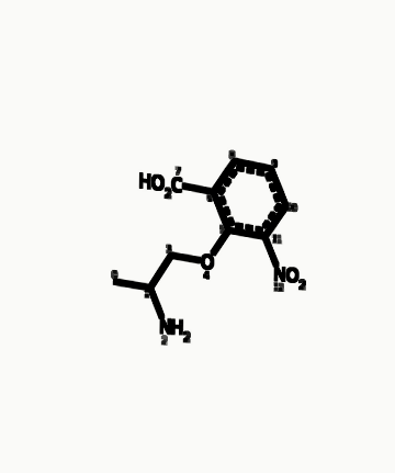 CC(N)COc1c(C(=O)O)cccc1[N+](=O)[O-]